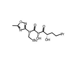 Cc1nc(N(CC(C)(C)C)C(=O)N(O)C(=O)[C@@H](O)CCC(C)C)no1